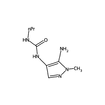 CCCNC(=O)Nc1cnn(C)c1N